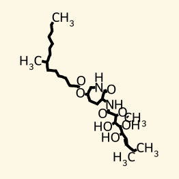 CCCCCCCC(C)CCCCCC(=O)OC1CCC(NC(=O)C(OC)C(O)C(O)C(O)/C=C/C(C)C)C(=O)NC1